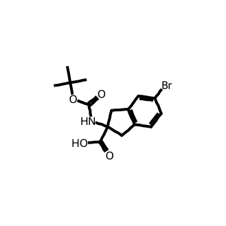 CC(C)(C)OC(=O)NC1(C(=O)O)Cc2ccc(Br)cc2C1